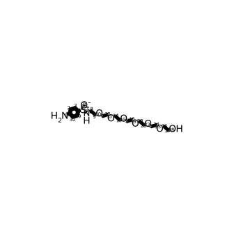 Nc1ccc([S+]([O-])NCCOCCOCCOCCOCCOCCOCCO)cc1